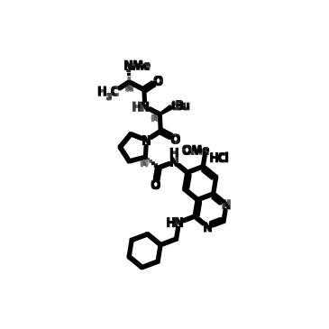 CN[C@@H](C)C(=O)N[C@H](C(=O)N1CCC[C@H]1C(=O)Nc1cc2c(NCC3CCCCC3)ncnc2cc1OC)C(C)(C)C.Cl